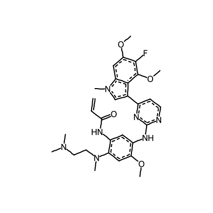 C=CC(=O)Nc1cc(Nc2nccc(-c3cn(C)c4cc(OC)c(F)c(OC)c34)n2)c(OC)cc1N(C)CCN(C)C